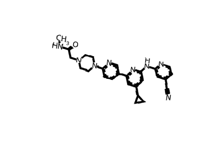 CNC(=O)CN1CCN(c2ccc(-c3cc(C4CC4)cc(Nc4cc(C#N)ccn4)n3)cn2)CC1